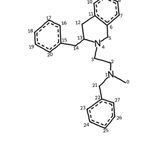 CN(CCN1Cc2ccccc2CC1Cc1ccccc1)Cc1ccccc1